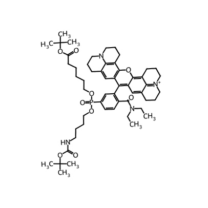 CCN(CC)C(=O)c1ccc(P(=O)(OCCCCCC(=O)OC(C)(C)C)OCCCCNC(=O)OC(C)(C)C)cc1C1=c2cc3c4c(c2Oc2c1cc1c5c2CCCN5CCC1)CCC[N+]=4CCC3